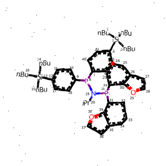 CCCC[Si](CCCC)(CCCC)c1ccc(P(c2ccc([Si](CCCC)(CCCC)CCCC)cc2)N(C(C)C)P(c2cccc3ccoc23)c2cccc3ccoc23)cc1